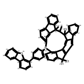 CCC1(CC)c2cc3c4cc2-c2c(cccc21)N(c1ccc(-c2cccc5c2oc2ccccc25)cc1)c1ccc2c(c1)C(C)(c1ccccc1-2)C(C)C4(CC)c1ccccc1-3